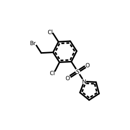 O=S(=O)(c1ccc(Cl)c(CBr)c1Cl)n1cccc1